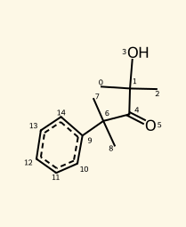 CC(C)(O)C(=O)C(C)(C)c1ccccc1